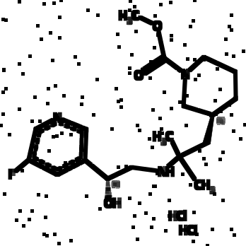 COC(=O)N1CCC[C@@H](CC(C)(C)NC[C@H](O)c2cncc(F)c2)C1.Cl.Cl